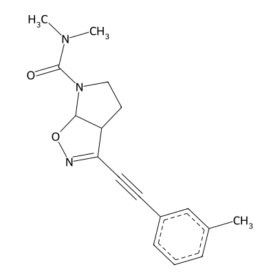 Cc1cccc(C#CC2=NOC3C2CCN3C(=O)N(C)C)c1